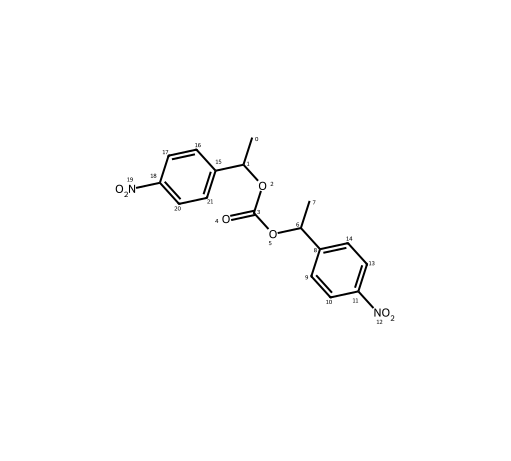 CC(OC(=O)OC(C)c1ccc([N+](=O)[O-])cc1)c1ccc([N+](=O)[O-])cc1